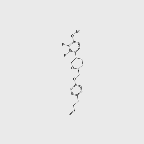 C=CCCc1ccc(OCC2CCC(c3ccc(OCC)c(F)c3F)CO2)cc1